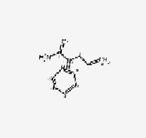 C=CCNC(N)=O.c1cncnc1